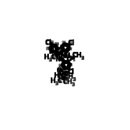 CCOc1cc(Cl)c(S(=O)(=O)NC(C)(C)C)cc1C1=N[C@@](C)(C2C=CC(Cl)=CC2)[C@@](C)(c2ccc(Cl)cc2)N1